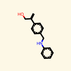 C=C(CO)c1ccc(CNc2ccccc2)cc1